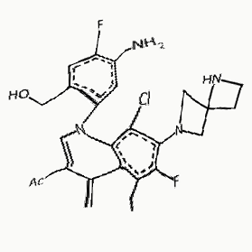 C=C1C(C(C)=O)=CN(c2cc(N)c(F)cc2CO)c2c(Cl)c(N3CC4(CCN4)C3)c(F)c(C)c21